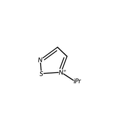 CC(C)[n+]1ccns1